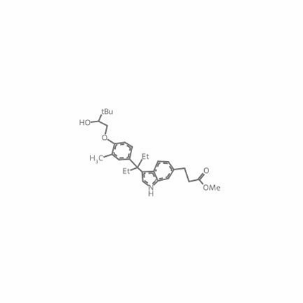 CCC(CC)(c1ccc(OCC(O)C(C)(C)C)c(C)c1)c1c[nH]c2cc(CCC(=O)OC)ccc12